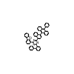 c1ccc(-c2ccccc2-c2nc(-c3ccc(-c4c5ccccc5c(-c5ccccc5)c5ccccc45)c4ccccc34)nc(-c3cccc4c3oc3ccccc34)n2)cc1